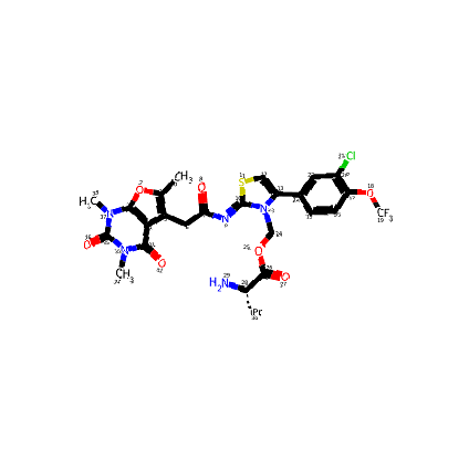 Cc1oc2c(c1CC(=O)N=c1scc(-c3ccc(OC(F)(F)F)c(Cl)c3)n1COC(=O)[C@@H](N)C(C)C)c(=O)n(C)c(=O)n2C